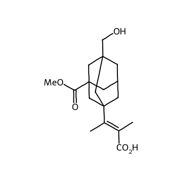 COC(=O)C12CC3CC(CO)(C1)CC(C(C)=C(C)C(=O)O)(C3)C2